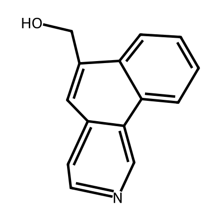 OCc1cc2ccncc2c2ccccc12